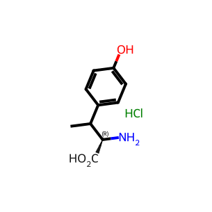 CC(c1ccc(O)cc1)[C@@H](N)C(=O)O.Cl